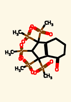 CS(=O)(=O)C1C(S(C)(=O)=O)(S(C)(=O)=O)C2=C(C(=O)CCC2)C1(S(C)(=O)=O)S(C)(=O)=O